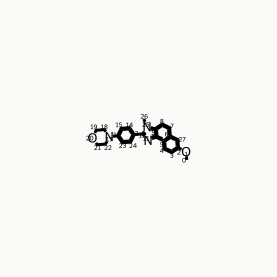 COc1ccc2c(ccc3c2nc(-c2ccc(N4CCOCC4)cc2)n3C)c1